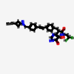 COC1CC(NCc2ccc(C#Cc3ccc(CC(C(=O)NCC(F)F)c4nc[nH]c(=O)c4O)cc3)cc2)C1